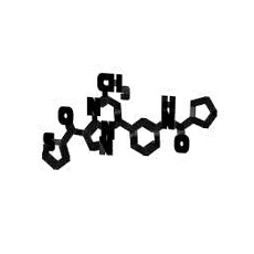 Cc1cc(-c2cccc(NC(=O)C3CCCC3)c2)n2ncc(C(=O)c3cccs3)c2n1